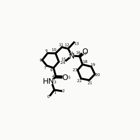 CC(C)NC(=O)C1CCCC(CC(C)N(C)C(=O)C2CCCCC2)C1